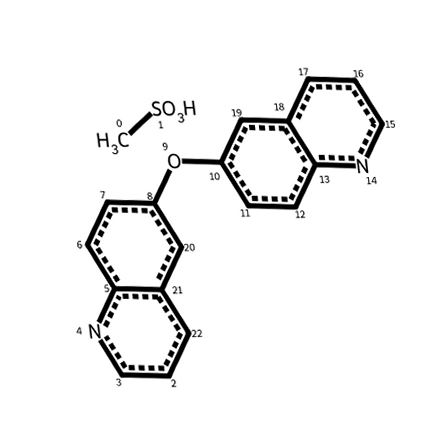 CS(=O)(=O)O.c1cnc2ccc(Oc3ccc4ncccc4c3)cc2c1